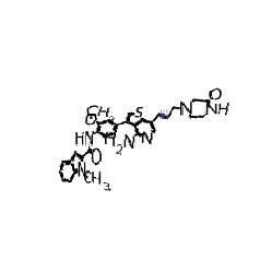 COc1cc(-c2csc3c(/C=C/CN4CCNC(=O)C4)cnc(N)c23)ccc1NC(=O)c1cc2ccccc2n1C